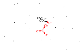 O=C([O-])[O-].[Ca+2].[Mg+2].[O-]B([O-])O